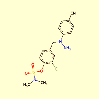 CN(C)S(=O)(=O)Oc1ccc(CN(N)c2ccc(C#N)cc2)cc1Cl